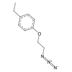 CCc1ccc(OCCN=[N+]=[N-])cc1